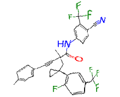 Cc1ccc(C#CC(C)(CC2(c3cc(C(F)(F)F)ccc3F)CC2)C(=O)Nc2ccc(C#N)c(C(F)(F)F)c2)cc1